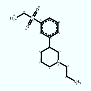 CCCN1CCCC(c2cccc(S(=O)(=O)CC)c2)C1